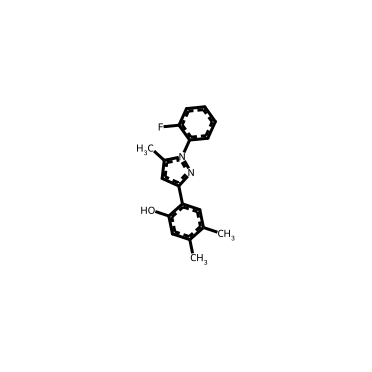 Cc1cc(O)c(-c2cc(C)n(-c3ccccc3F)n2)cc1C